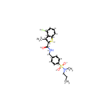 CCCN(C)S(=O)(=O)c1ccc(CNC(=O)c2sc3cccc(F)c3c2C)cc1